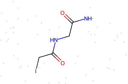 [NH]C(=O)CNC(=O)CI